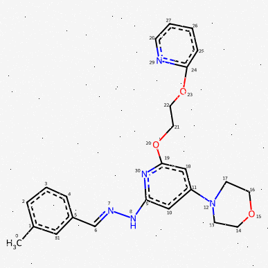 Cc1cccc(/C=N/Nc2cc(N3CCOCC3)cc(OCCOc3ccccn3)n2)c1